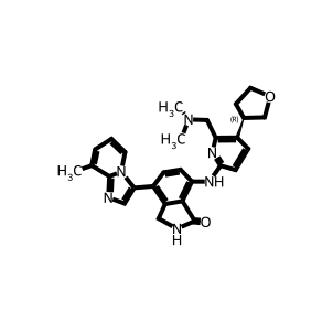 Cc1cccn2c(-c3ccc(Nc4ccc([C@H]5CCOC5)c(CN(C)C)n4)c4c3CNC4=O)cnc12